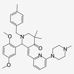 COc1ccc(OC)c(C2C(=Cc3cccc(N4CCN(C)CC4)n3)C(=O)C(C)(C)CN2Cc2ccc(C)cc2)c1